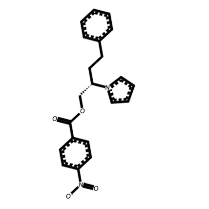 O=C(OC[C@H](CCc1ccccc1)n1cccc1)c1ccc([N+](=O)[O-])cc1